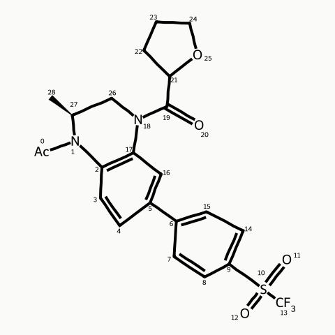 CC(=O)N1c2ccc(-c3ccc(S(=O)(=O)C(F)(F)F)cc3)cc2N(C(=O)C2CCCO2)C[C@@H]1C